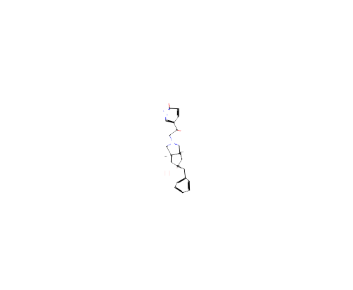 Oc1ccc(C(O)CN2C[C@@H]3C[C@@](O)(Cc4ccccc4)C[C@@H]3C2)cn1